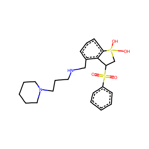 O=S(=O)(c1ccccc1)C1CS(O)(O)c2cccc(CNCCCN3CCCCC3)c21